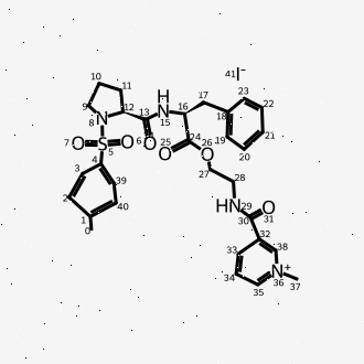 Cc1ccc(S(=O)(=O)N2CCC[C@H]2C(=O)N[C@@H](Cc2ccccc2)C(=O)OCCNC(=O)c2ccc[n+](C)c2)cc1.[I-]